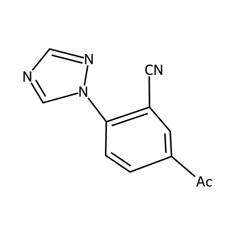 CC(=O)c1ccc(-n2cncn2)c(C#N)c1